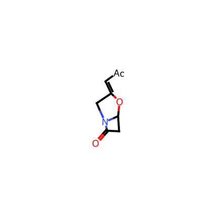 CC(=O)/C=C1/CN2C(=O)CC2O1